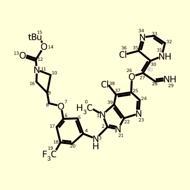 Cn1c(Nc2cc(OCC3CN(C(=O)OC(C)(C)C)C3)cc(C(F)(F)F)c2)nc2ncc(O/C(C=N)=C3/NC=CN=C3Cl)c(Cl)c21